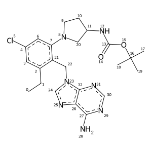 CCc1cc(Cl)cc(N2CCC(NC(=O)OC(C)(C)C)C2)c1Cn1cnc2c(N)ncnc21